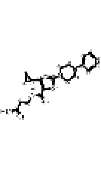 O=C(O)CCNC(=O)c1sc(N2CCN(c3ccncc3)CC2)nc1C1CC1